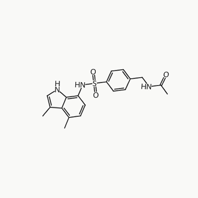 CC(=O)NCc1ccc(S(=O)(=O)Nc2ccc(C)c3c(C)c[nH]c23)cc1